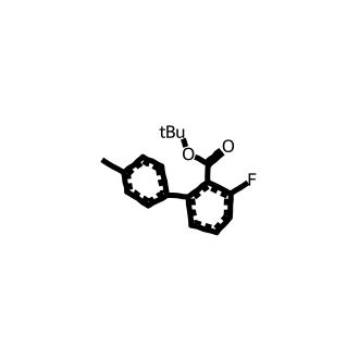 Cc1ccc(-c2cccc(F)c2C(=O)OC(C)(C)C)cc1